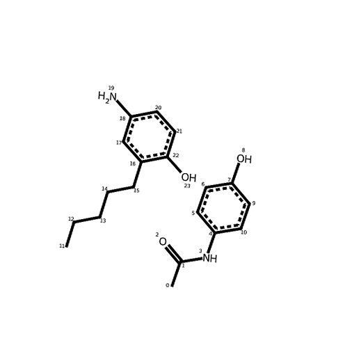 CC(=O)Nc1ccc(O)cc1.CCCCCc1cc(N)ccc1O